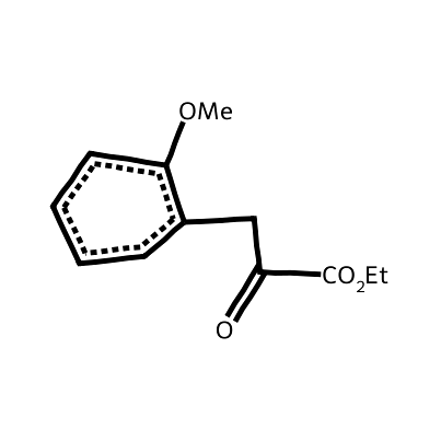 CCOC(=O)C(=O)Cc1ccccc1OC